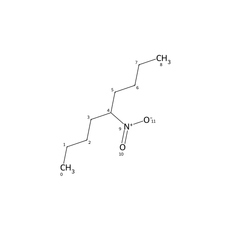 CCCCC(CCCC)[N+](=O)[O-]